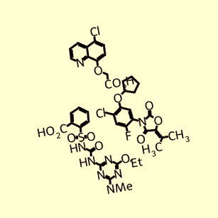 CC(C)=C1OC(=O)N(c2cc(OC3CCCC3)c(Cl)cc2F)C1=O.CCOc1nc(NC)nc(NC(=O)NS(=O)(=O)c2ccccc2C(=O)O)n1.O=C(O)COc1ccc(Cl)c2cccnc12